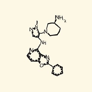 Cn1ncc(Nc2nccc3oc(-c4ccccc4)nc23)c1N1CCC[C@H](N)C1